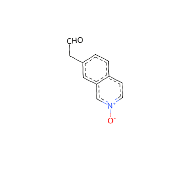 O=CCc1ccc2cc[n+]([O-])cc2c1